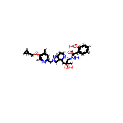 Cc1cc(Cn2cc3c(CC(C)(O)CNC(=O)c4ccccc4O)nccc3n2)ncc1OCC1CC1